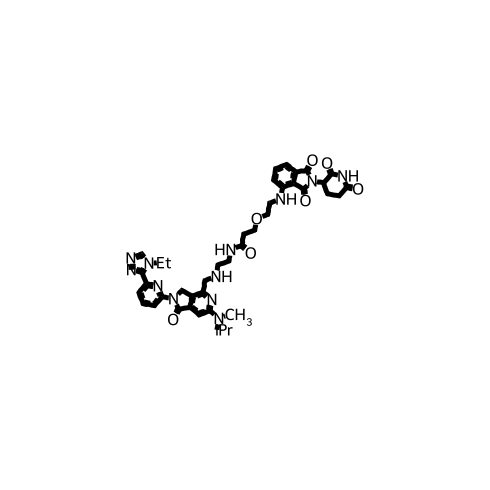 CCn1cnnc1-c1cccc(N2Cc3c(cc(N(C)C(C)C)nc3CNCCNC(=O)CCOCCNc3cccc4c3C(=O)N(C3CCC(=O)NC3=O)C4=O)C2=O)n1